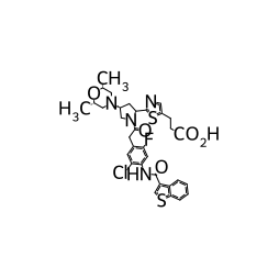 C[C@@H]1CN([C@H]2CC(c3ncc(CCC(=O)O)s3)N(C(=O)Cc3cc(Cl)c(NC(=O)c4csc5ccccc45)cc3F)C2)C[C@H](C)O1